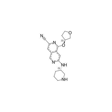 N#Cc1cc2cnc(N[C@H]3CCCNC3)cc2c(O[C@H]2CCOC2)n1